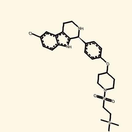 C[Si](C)(C)CCS(=O)(=O)N1CCC(Oc2ccc([C@@H]3NCCc4c3[nH]c3ccc(Cl)cc43)cc2)CC1